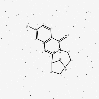 O=c1c2ccc(Br)cc2nc2n1CCN1CCC2C1